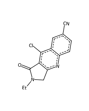 CCN1Cc2nc3ccc(C#N)cc3c(Cl)c2C1=O